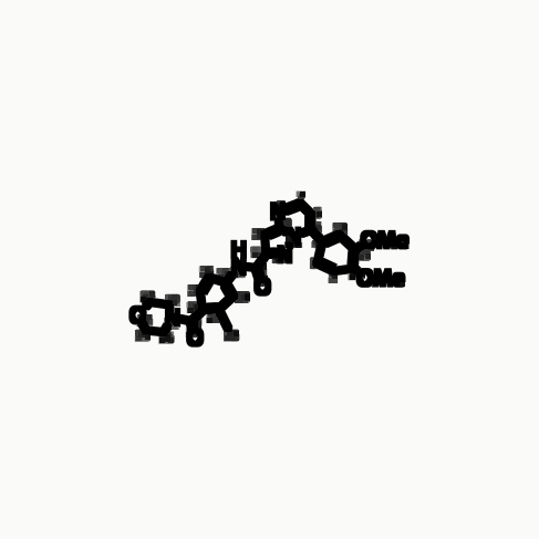 COc1ccc(-c2ccnc3cc(C(=O)Nc4ccc(C(=O)N5CCOCC5)c(C)c4)nn23)cc1OC